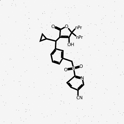 CCCC1(CCC)OC(=O)C(C(c2cccc(CS(=O)(=O)c3ccc(C#N)cn3)c2)C2CC2)=C1O